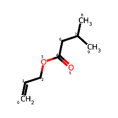 C=CCOC(=O)[CH]C(C)C